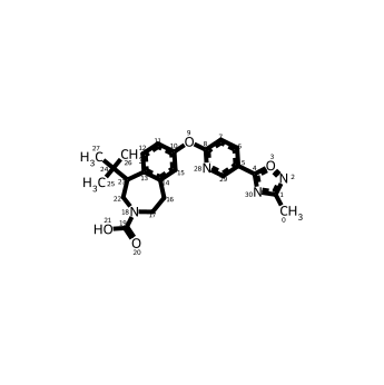 Cc1noc(-c2ccc(Oc3ccc4c(c3)CCN(C(=O)O)CC4C(C)(C)C)nc2)n1